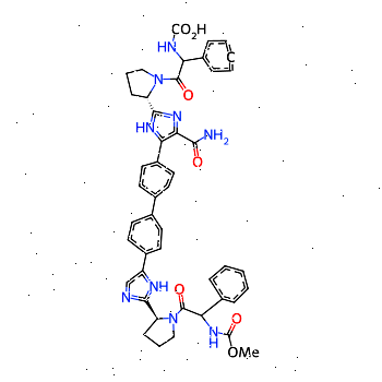 COC(=O)NC(C(=O)N1CCC[C@H]1c1ncc(-c2ccc(-c3ccc(-c4[nH]c([C@@H]5CCCN5C(=O)C(NC(=O)O)c5ccccc5)nc4C(N)=O)cc3)cc2)[nH]1)c1ccccc1